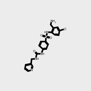 NCc1cc(Cl)ccc1NS(=O)(=O)c1ccc(NC(=O)NCc2cccnc2)cc1